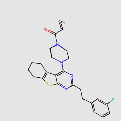 C=CC(=O)N1CCN(c2nc(CCc3cccc(F)c3)nc3sc4c(c23)CCCC4)CC1